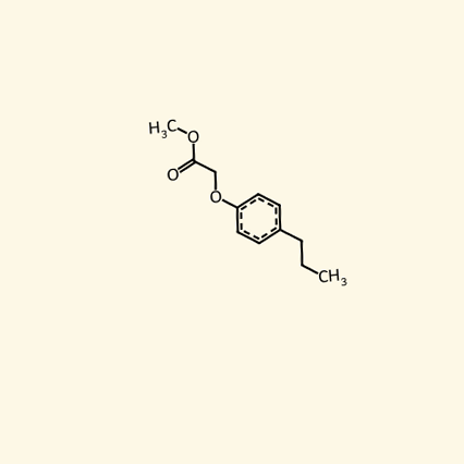 CCCc1ccc(OCC(=O)OC)cc1